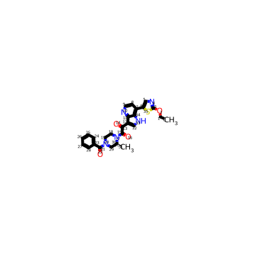 CCOc1ncc(-c2ccnc3c(C(=O)C(=O)N4CCN(C(=O)c5ccccc5)C[C@H]4C)c[nH]c23)s1